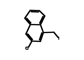 Clc1cc(CI)c2ccccc2c1